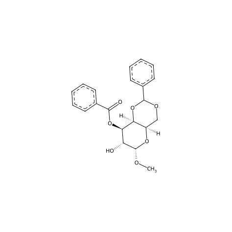 CO[C@H]1O[C@@H]2COC(c3ccccc3)O[C@@H]2[C@H](OC(=O)c2ccccc2)[C@H]1O